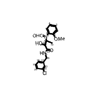 COc1ccccc1N(C=O)C(C)C(O)C(=O)NCc1cccc(Cl)c1